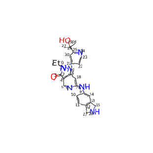 CCn1c(=O)c2cnc(Nc3ccc4c(c3)CNC4)cc2n1-c1ccnc(C(C)(C)O)c1